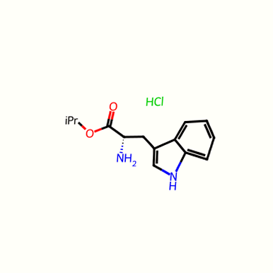 CC(C)OC(=O)[C@@H](N)Cc1c[nH]c2ccccc12.Cl